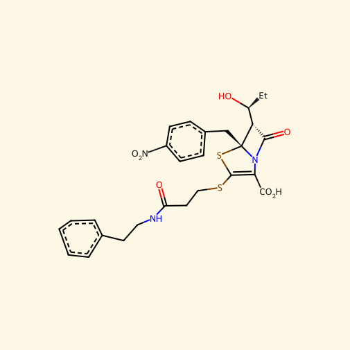 CC[C@H](O)[C@@H]1C(=O)N2C(C(=O)O)=C(SCCC(=O)NCCc3ccccc3)S[C@]12Cc1ccc([N+](=O)[O-])cc1